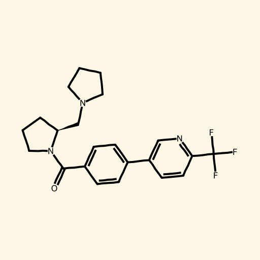 O=C(c1ccc(-c2ccc(C(F)(F)F)nc2)cc1)N1CCC[C@H]1CN1CCCC1